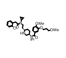 COCCCOc1cc(C(=O)N(C(C)C)[C@@H]2CC[C@H](CCN(C(=O)Cc3ccccc3Cl)C3CC3)NC2)ccc1OC